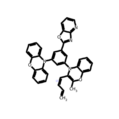 C=C/C=C\C1=C(C)Oc2ccccc2N1c1cc(-c2nc3ncccc3o2)cc(N2c3ccccc3Oc3ccccc32)c1